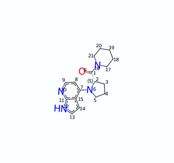 O=C([C@@H]1CCCN1c1ccnc2[nH]ccc12)N1CCCCC1